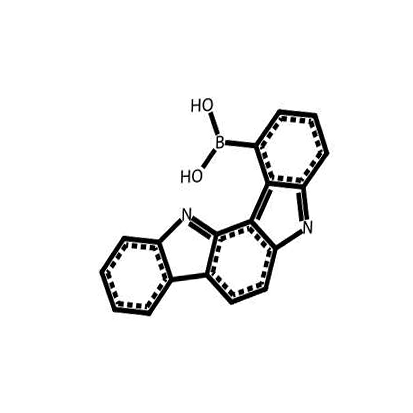 OB(O)c1cccc2c1=c1c(ccc3c1=Nc1ccccc1-3)N=2